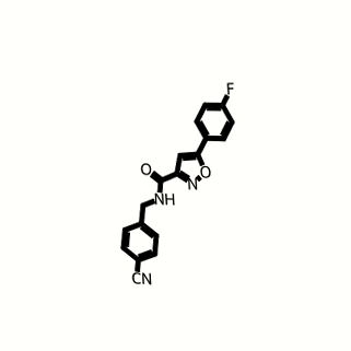 N#Cc1ccc(CNC(=O)c2cc(-c3ccc(F)cc3)on2)cc1